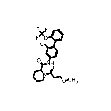 COCCC(=O)N1CCCCC1C(=O)Nc1ccc(-c2ccccc2OC(F)(F)F)c(Cl)c1